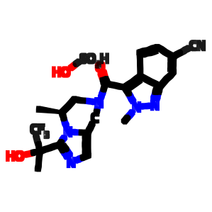 C[C@H]1CN(C(=O)c2c3ccc(C#N)cc3nn2C)Cc2cnc(C(C)(O)C(F)(F)F)n21.O=S(=O)(O)O